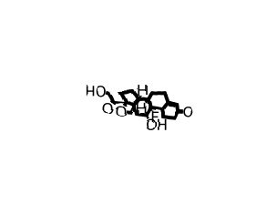 O=C1C=C2CC[C@H]3[C@@H]4CC[C@@]5(C(=O)CO)OC[C@]45C[C@H](O)[C@]3(F)C2CC1